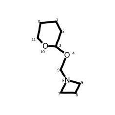 C1CCC(OCN2CCC2)OC1